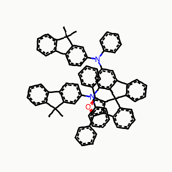 CC1(C)c2ccccc2-c2ccc(N(c3ccccc3)c3cc4c(c(N(c5ccccc5)c5ccc6c(c5)C(C)(C)c5ccccc5-6)c3)C3(c5ccccc5-4)c4ccccc4-c4c(-c5ccccc5)oc(-c5ccccc5)c43)cc21